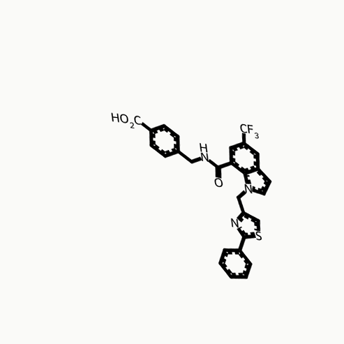 O=C(O)c1ccc(CNC(=O)c2cc(C(F)(F)F)cc3ccn(Cc4csc(-c5ccccc5)n4)c23)cc1